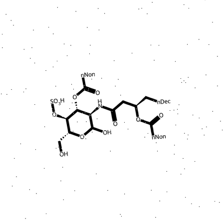 CCCCCCCCCCC[C@H](CC(=O)N[C@H]1C(O)O[C@H](CO)[C@@H](OS(=O)(=O)O)[C@@H]1OC(=O)CCCCCCCCC)OC(=O)CCCCCCCCC